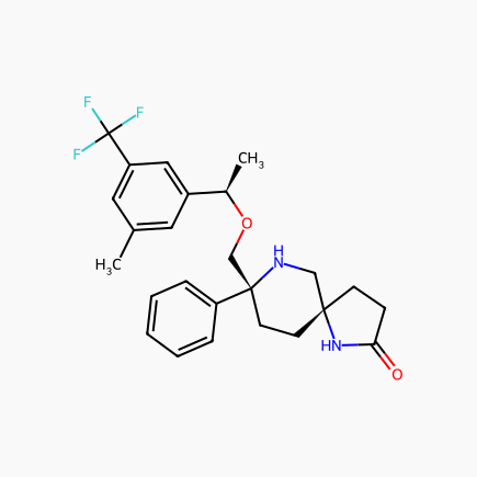 Cc1cc([C@@H](C)OC[C@]2(c3ccccc3)CC[C@]3(CCC(=O)N3)CN2)cc(C(F)(F)F)c1